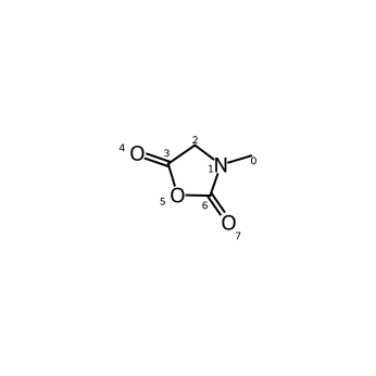 CN1CC(=O)OC1=O